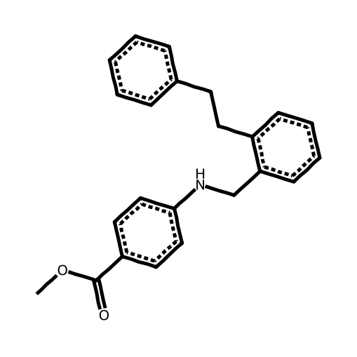 COC(=O)c1ccc(NCc2ccccc2CCc2ccccc2)cc1